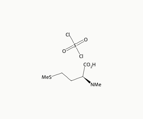 CN[C@@H](CCSC)C(=O)O.O=S(=O)(Cl)Cl